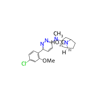 COc1cc(Cl)ccc1-c1ccc(N(C)C2CC3CC[C@@H](C2)N3C(=O)O)nn1